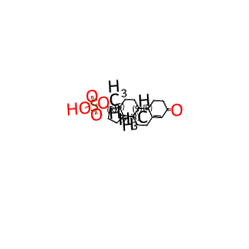 C[C@]12CC[C@H]3[C@@H](CCC4=CC(=O)CC[C@@]43C)[C@@H]1CC[C@H]2OS(=O)(=O)O